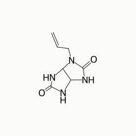 C=CCN1C(=O)NC2NC(=O)NC21